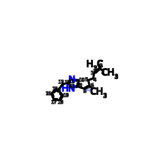 CC(C)=CCC/C(C)=C\c1cnc(Cc2ccccc2)[nH]1